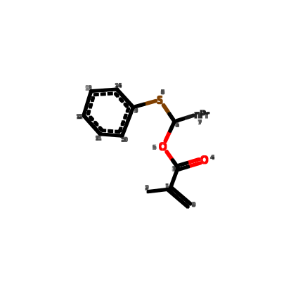 C=C(C)C(=O)OC(CCC)Sc1ccccc1